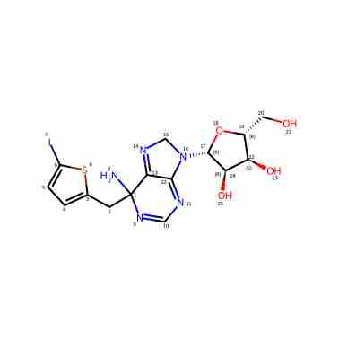 NC1(Cc2ccc(I)s2)N=CN=C2C1=NCN2[C@@H]1O[C@H](CO)[C@@H](O)[C@H]1O